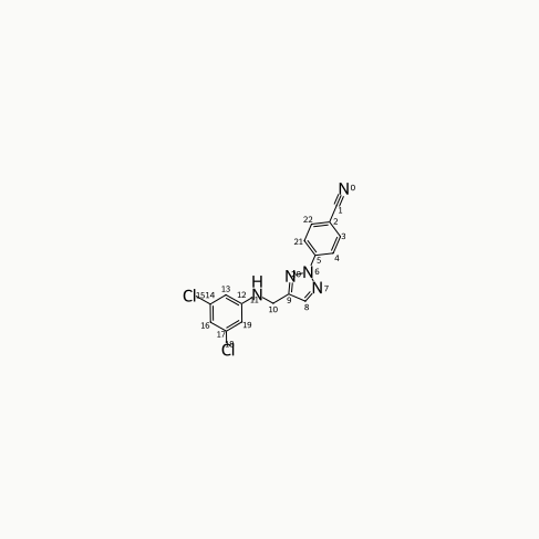 N#Cc1ccc(-n2ncc(CNc3cc(Cl)cc(Cl)c3)n2)cc1